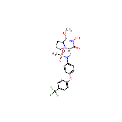 COCC1CCCN1[C@@H](CN(c1ccc(Oc2ccc(C(F)(F)F)cc2)cc1)S(C)(=O)=O)C(=O)NO